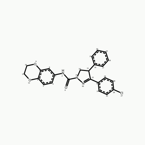 O=C(Nc1ccc2c(c1)OCCO2)N1CC(c2ccccc2)C(c2ccc(Cl)cc2)=N1